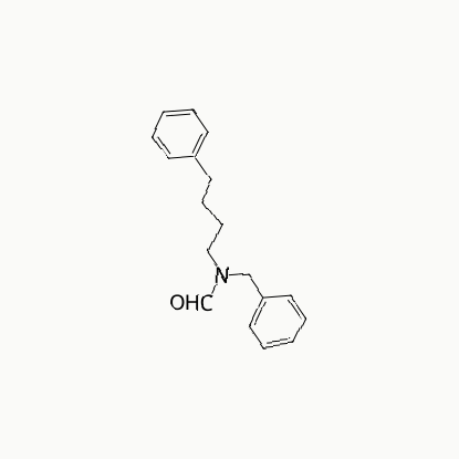 O=CN(CCCCc1ccccc1)Cc1ccccc1